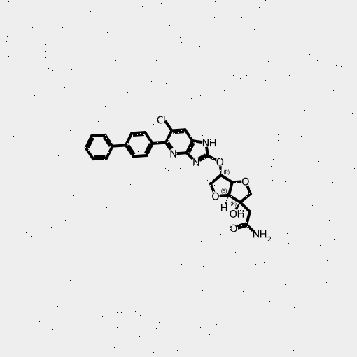 NC(=O)C[C@@]1(O)COC2[C@H](Oc3nc4nc(-c5ccc(-c6ccccc6)cc5)c(Cl)cc4[nH]3)CO[C@@H]21